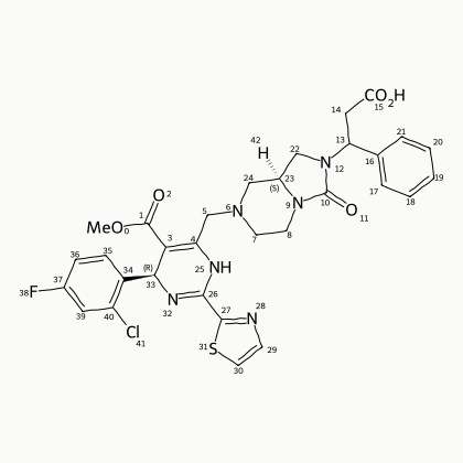 COC(=O)C1=C(CN2CCN3C(=O)N(C(CC(=O)O)c4ccccc4)C[C@@H]3C2)NC(c2nccs2)=N[C@H]1c1ccc(F)cc1Cl